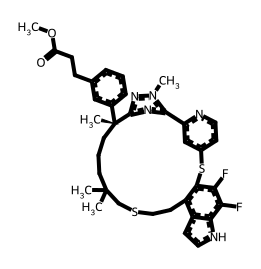 COC(=O)CCc1cccc([C@@]2(C)CCCC(C)(C)CSCCc3c(c(F)c(F)c4[nH]ccc34)Sc3ccnc(c3)-c3nc2nn3C)c1